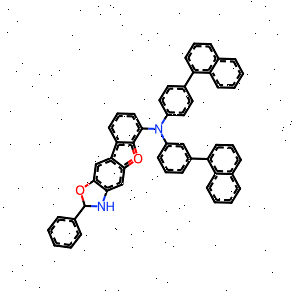 c1ccc(C2Nc3cc4oc5c(N(c6ccc(-c7cccc8ccccc78)cc6)c6cccc(-c7cccc8ccccc78)c6)cccc5c4cc3O2)cc1